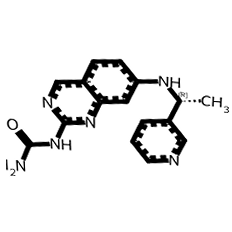 C[C@@H](Nc1ccc2cnc(NC(N)=O)nc2c1)c1cccnc1